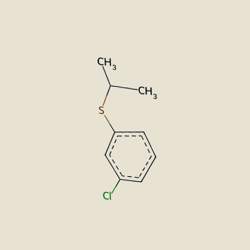 CC(C)Sc1cccc(Cl)c1